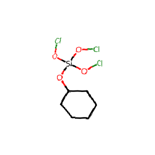 ClO[Si](OCl)(OCl)OC1CCCCC1